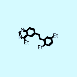 CCc1ccc(CC)c(CCc2ccc3ncnc(CC)c3c2)c1